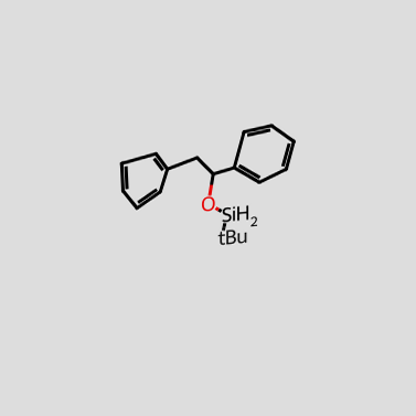 CC(C)(C)[SiH2]OC(Cc1ccccc1)c1ccccc1